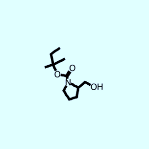 CCC(C)(C)OC(=O)N1CCCC1CO